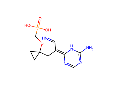 N=C/C(CC1(OCP(=O)(O)O)CC1)=C1/N=CN=C(N)N1